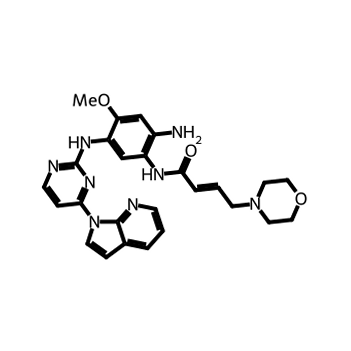 COc1cc(N)c(NC(=O)/C=C/CN2CCOCC2)cc1Nc1nccc(-n2ccc3cccnc32)n1